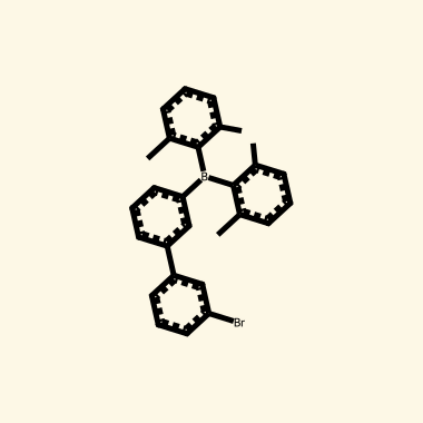 Cc1cccc(C)c1B(c1cccc(-c2cccc(Br)c2)c1)c1c(C)cccc1C